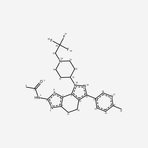 CC(=O)Nc1nc2c(s1)-c1c(c(-c3ccc(C)nc3)nn1C1CCN(CC(F)(F)F)CC1)CC2